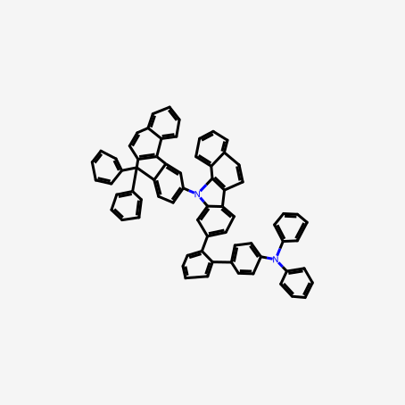 c1ccc(N(c2ccccc2)c2ccc(-c3ccccc3-c3ccc4c5ccc6ccccc6c5n(-c5ccc6c(c5)-c5c(ccc7ccccc57)C6(c5ccccc5)c5ccccc5)c4c3)cc2)cc1